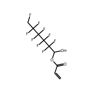 C=CC(=O)OC(O)C(F)(F)C(F)(F)C(F)(F)C(F)(F)CF